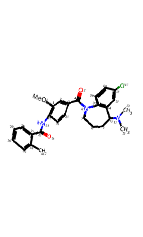 COc1cc(C(=O)N2CCCC(N(C)C)c3cc(Cl)ccc32)ccc1NC(=O)c1ccccc1C